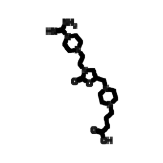 N=C(N)N1CCN(CCN2CC(CN3CCN(CCCC(=O)O)CC3)OC2=O)CC1